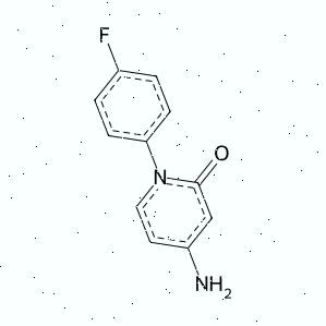 Nc1ccn(-c2ccc(F)cc2)c(=O)c1